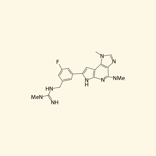 CNC(=N)NCc1cc(F)cc(-c2cc3c(nc(NC)c4ncn(C)c43)[nH]2)c1